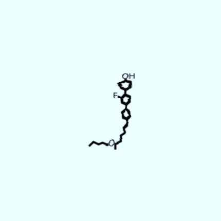 CCCCCOC(C)CCCC=Cc1ccc(-c2ccc(-c3ccc(O)cc3)c(F)c2)cc1